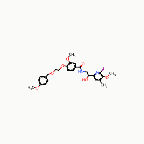 COc1ccc(COCCOc2ccc(C(=O)NCC(O)c3cc(C)c(OC)c(I)n3)cc2OC)cc1